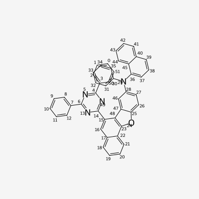 c1ccc(-c2nc(-c3ccccc3)nc(-c3cc4ccccc4c4oc5ccc(N(c6ccccc6)c6cccc7ccccc67)cc5c34)n2)cc1